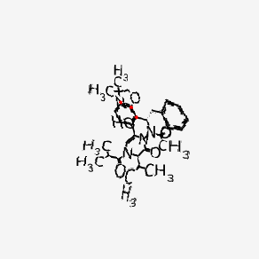 CC(=O)N([C@@H](Cc1ccccc1)C(O)C1=NC(C)(C)CO1)N1C(=O)[C@@H](C(C)C)N(C(=O)C(C)C)C=C1c1ccccc1